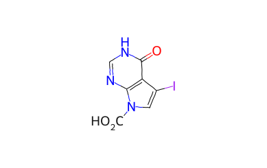 O=C(O)n1cc(I)c2c(=O)[nH]cnc21